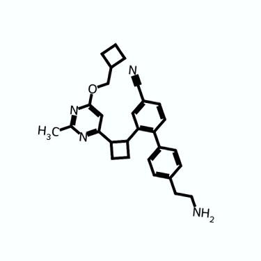 Cc1nc(OCC2CCC2)cc(C2CCC2c2cc(C#N)ccc2-c2ccc(CCN)cc2)n1